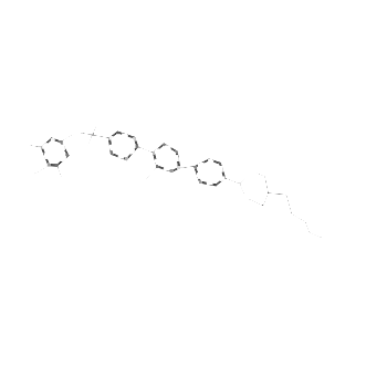 CCCCCC1COC(c2ccc(-c3ccc(-c4ccc(C(F)(F)Oc5cc(F)c(F)c(F)c5)cc4)c(F)c3)cc2)OC1